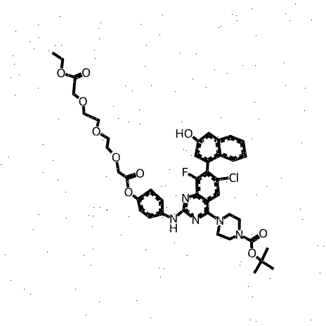 CCOC(=O)COCCOCCOCC(=O)Oc1ccc(Nc2nc(N3CCN(C(=O)OC(C)(C)C)CC3)c3cc(Cl)c(-c4cc(O)cc5ccccc45)c(F)c3n2)cc1